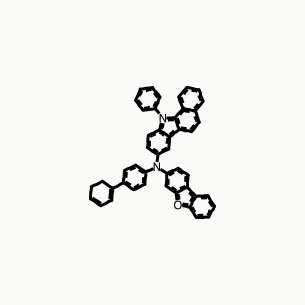 C1=CCCC(c2ccc(N(c3ccc4c(c3)oc3ccccc34)c3ccc4c(c3)c3ccc5ccccc5c3n4-c3ccccc3)cc2)=C1